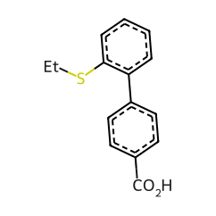 CCSc1ccccc1-c1ccc(C(=O)O)cc1